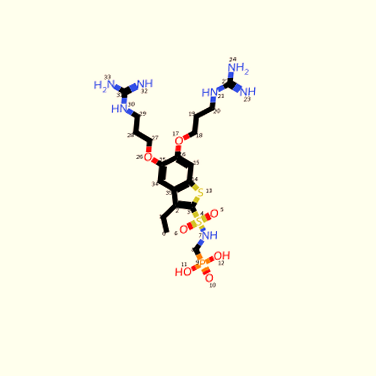 CCc1c(S(=O)(=O)NCP(=O)(O)O)sc2cc(OCCCNC(=N)N)c(OCCCNC(=N)N)cc12